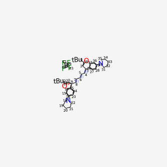 CC(C)(C)C1=C\C(=C/C=C/C=C/c2cc(C(C)(C)C)[o+]c3cc(N4CCCCC4)ccc23)c2ccc(N3CCCCC3)cc2O1.F[B-](F)(F)F